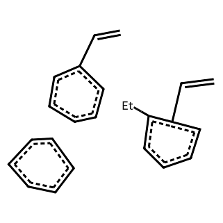 C=Cc1ccccc1.C=Cc1ccccc1CC.c1ccccc1